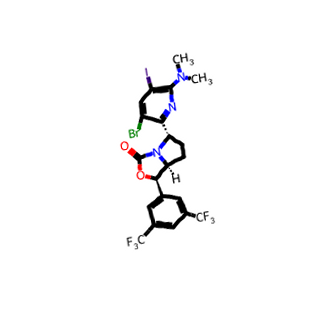 CN(C)c1nc([C@@H]2CC[C@H]3[C@@H](c4cc(C(F)(F)F)cc(C(F)(F)F)c4)OC(=O)N23)c(Br)cc1I